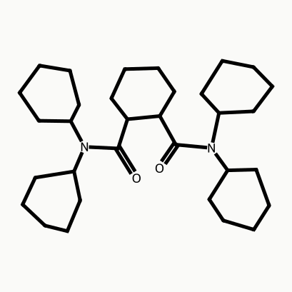 O=C(C1CCCCC1C(=O)N(C1CCCCC1)C1CCCCC1)N(C1CCCCC1)C1CCCCC1